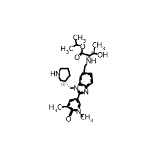 Cc1cc(-c2nc3ccc(CN[C@H](C(=O)OC(C)C)[C@@H](C)O)cc3n2C[C@H]2CCCNC2)cn(C)c1=O